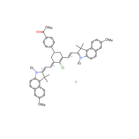 CCN1/C(=C/C=C2\CC(c3ccc(C(=O)OC)cc3)CC(/C=C/C3=[N+](CC)c4ccc5cc(OC)ccc5c4C3(C)C)=C2Cl)C(C)(C)c2c1ccc1cc(OC)ccc21.[I-]